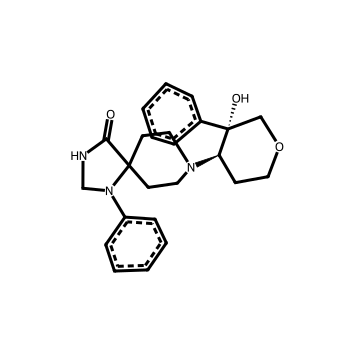 O=C1NCN(c2ccccc2)C12CCN([C@@H]1CCOC[C@]1(O)c1ccccc1)CC2